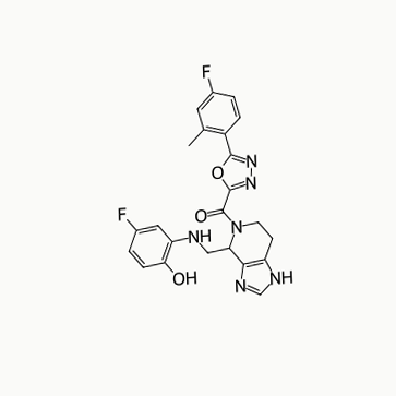 Cc1cc(F)ccc1-c1nnc(C(=O)N2CCc3[nH]cnc3C2CNc2cc(F)ccc2O)o1